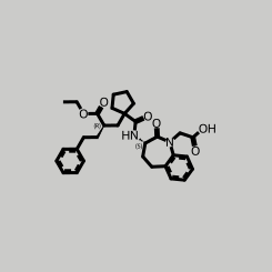 CCOC(=O)[C@H](CCc1ccccc1)CC1(C(=O)N[C@H]2CCc3ccccc3N(CC(=O)O)C2=O)CCCC1